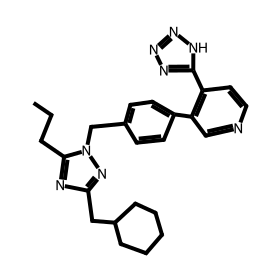 CCCc1nc(CC2CCCCC2)nn1Cc1ccc(-c2cnccc2-c2nnn[nH]2)cc1